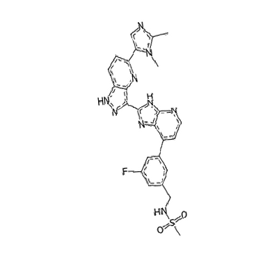 Cc1ncc(-c2ccc3[nH]nc(-c4nc5c(-c6cc(F)cc(CNS(C)(=O)=O)c6)ccnc5[nH]4)c3n2)n1C